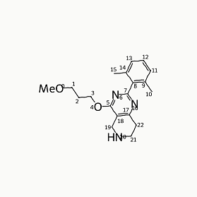 COCCCOc1nc(-c2c(C)cccc2C)nc2c1CNCC2